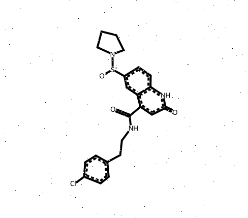 O=C(NCCc1ccc(Cl)cc1)c1cc(=O)[nH]c2ccc([S+]([O-])N3CCCC3)cc12